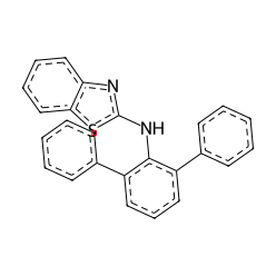 c1ccc(-c2cccc(-c3ccccc3)c2Nc2nc3ccccc3s2)cc1